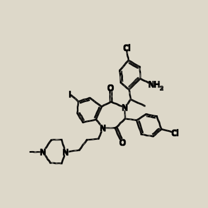 CC(c1ccc(Cl)cc1N)N1C(=O)c2cc(I)ccc2N(CCCN2CCN(C)CC2)C(=O)C1c1ccc(Cl)cc1